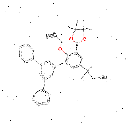 COCOc1c(B2OC(C)(C)C(C)(C)O2)cc(C(C)(C)CC(C)(C)C)cc1-c1cc(-c2ccccc2)cc(-c2ccccc2)c1